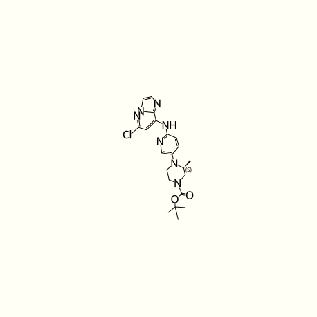 C[C@H]1CN(C(=O)OC(C)(C)C)CCN1c1ccc(Nc2cc(Cl)nn3ccnc23)nc1